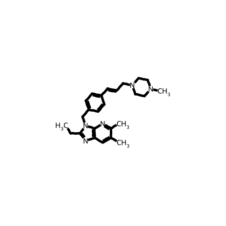 CCc1nc2cc(C)c(C)nc2n1Cc1ccc(C=CCN2CCN(C)CC2)cc1